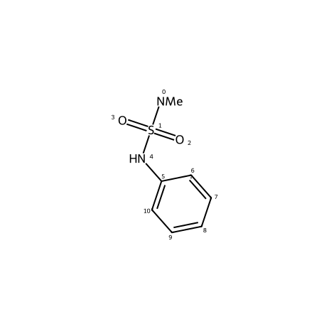 CNS(=O)(=O)Nc1[c]cccc1